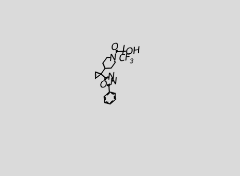 CC(O)(C(=O)N1CCC(C2(c3nnc(-c4ccccc4)o3)CC2)CC1)C(F)(F)F